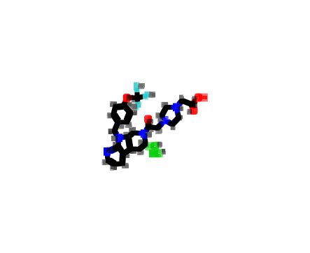 Cl.Cl.O=C(O)CN1CCN(CC(=O)N2CCc3c(n(Cc4ccc(OC(F)(F)F)cc4)c4ncccc34)C2)CC1